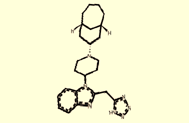 c1ccc2c(c1)nc(Cc1nnn[nH]1)n2C1CCN([C@@H]2C[C@@H]3CCCC[C@@H](C3)C2)CC1